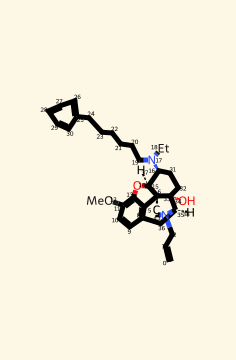 C=CCN1CC[C@]23c4c5ccc(OC)c4O[C@H]2[C@@H](N(CC)CCCCCCc2ccccc2)CC[C@@]3(O)[C@H]1C5